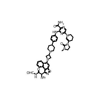 CCCC(C(=O)NC=O)c1noc2cc(N3CC(N4CCC(c5ccc(Nc6nc(N7C=C(N8CCN(C)C8=O)CCC7)cnc6C(N)=O)cc5)CC4)C3)c3ccccc3c12